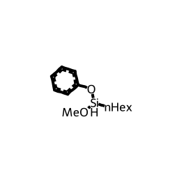 CCCCCC[SiH](OC)Oc1ccccc1